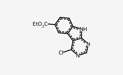 CCOC(=O)c1ccc2[nH]c3ncnc(Cl)c3c2c1